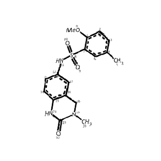 COc1ccc(C)cc1S(=O)(=O)Nc1ccc2c(c1)CN(C)C(=O)N2